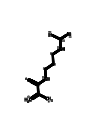 C=C(C)C(=O)NCCCNC(CC)CC